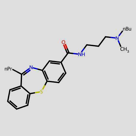 CCCCN(C)CCCNC(=O)c1ccc2c(c1)N=C(CCC)c1ccccc1S2